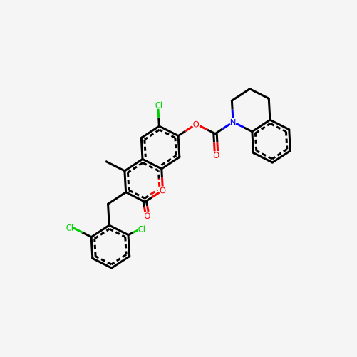 Cc1c(Cc2c(Cl)cccc2Cl)c(=O)oc2cc(OC(=O)N3CCCc4ccccc43)c(Cl)cc12